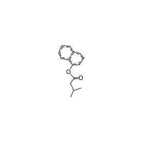 CC(C)CC(=O)Oc1cccc2ccccc12